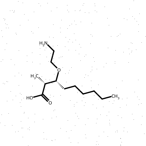 CCCCCC[C@@H](OCCN)[C@@H](C)C(=O)O